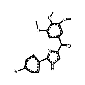 COc1cc(C(=O)c2c[nH]c(-c3ccc(Br)cc3)n2)cc(OC)c1OC